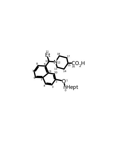 CCCCCCCOc1ccc2cccc(C(CC)N3CCC(C(=O)O)CC3)c2c1